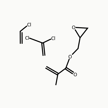 C=C(C)C(=O)OCC1CO1.C=C(Cl)Cl.C=CCl